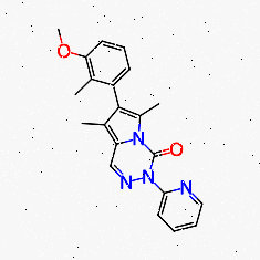 COc1cccc(-c2c(C)c3cnn(-c4ccccn4)c(=O)n3c2C)c1C